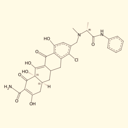 C[C@H](C(=O)Nc1ccccc1)N(C)Cc1cc(O)c2c(c1Cl)CC1C[C@H]3CC(O)=C(C(N)=O)C(=O)[C@@]3(O)C(O)=C1C2=O